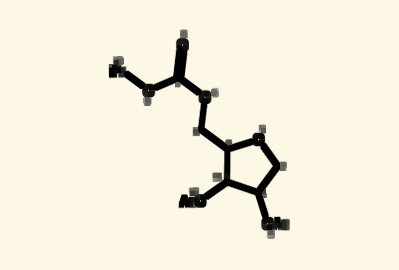 CC(=O)OC1COC(COC(=O)OC(C)C)C1OC(C)=O